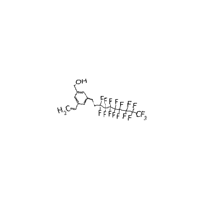 C=Cc1cc(CO)cc(CCC(F)(F)C(F)(F)C(F)(F)C(F)(F)C(F)(F)C(F)(F)C(F)(F)C(F)(F)F)c1